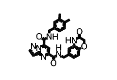 Cc1ccc(CNC(=O)c2cc(C(=O)NCc3ccc4c(c3)NC(=O)CO4)nc3ccnn23)cc1C